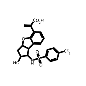 C=C(C(=O)O)c1cccc2c1OC1CC(O)C(NS(=O)(=O)c3ccc(C(F)(F)F)cc3)C21